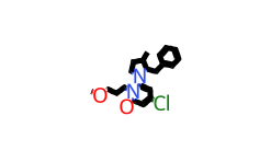 COCCCn1c(N2CCC(C)C2Cc2ccccc2)cc(Cl)cc1=O